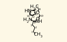 CCCCC(=N)N.CCOC=O.c1cc[nH]c1